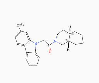 COc1ccc2c3ccccc3n(CC(=O)N3CC[C@H]4CCCC[C@@H]4C3)c2c1